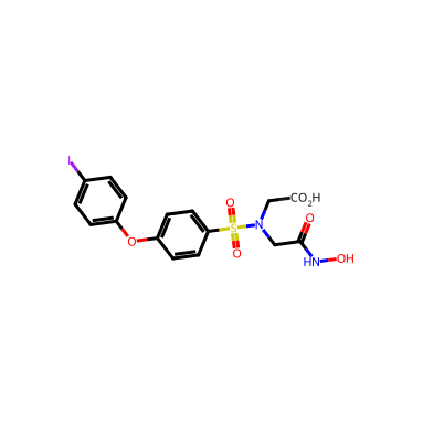 O=C(O)CN(CC(=O)NO)S(=O)(=O)c1ccc(Oc2ccc(I)cc2)cc1